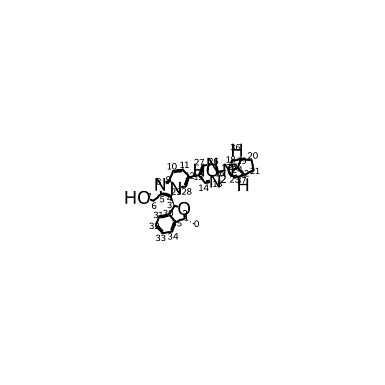 C[C@H]1O[C@H](c2c(CO)nc3ccc(-c4cnc(N5C[C@H]6CC[C@@H](C5)C6C(=O)O)nc4)cn23)c2ccccc21